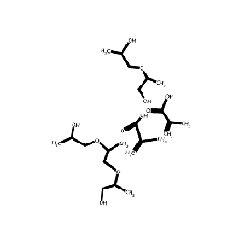 C=C(C)C(=O)O.C=C(C)C(=O)O.CC(O)COC(C)CO.CC(O)COC(C)COC(C)CO